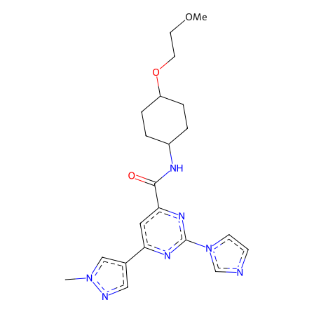 COCCOC1CCC(NC(=O)c2cc(-c3cnn(C)c3)nc(-n3ccnc3)n2)CC1